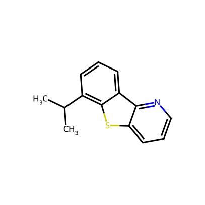 CC(C)c1cccc2c1sc1cccnc12